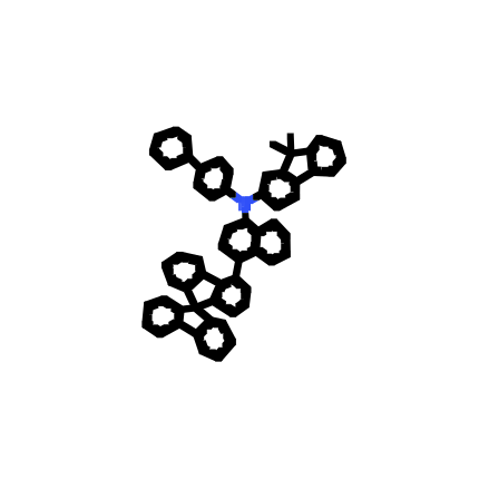 CC1(C)c2ccccc2-c2ccc(N(c3ccc(-c4ccccc4)cc3)c3ccc(-c4cccc5c4-c4ccccc4C54c5ccccc5-c5ccccc54)c4ccccc34)cc21